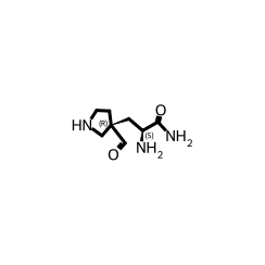 NC(=O)[C@@H](N)C[C@]1(C=O)CCNC1